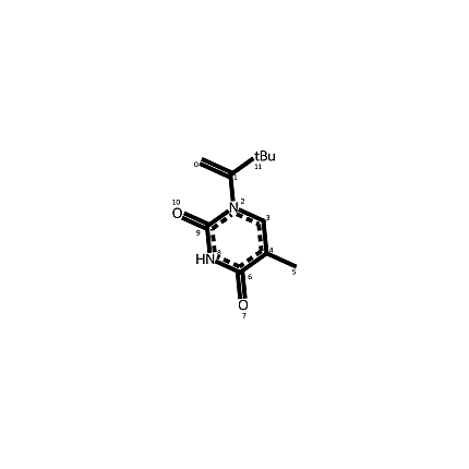 C=C(n1cc(C)c(=O)[nH]c1=O)C(C)(C)C